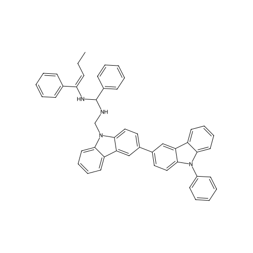 CC/C=C(/NC(NCn1c2ccccc2c2cc(-c3ccc4c(c3)c3ccccc3n4-c3ccccc3)ccc21)c1ccccc1)c1ccccc1